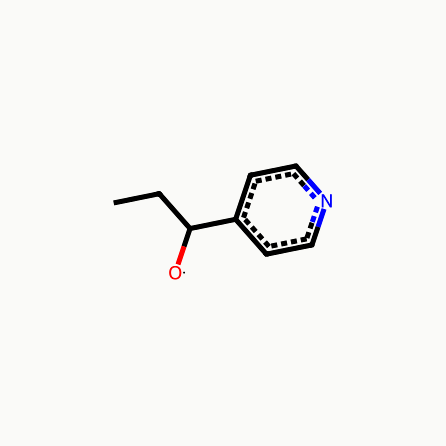 CCC([O])c1ccncc1